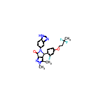 Cc1c2c(nn1C)C(=O)N(c1ccc3[nH]cnc3c1)C2c1ccc(OCCC(C)(F)F)cc1F